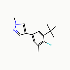 Cc1cc(-c2cnn(C)c2)cc(C(C)(C)C)c1F